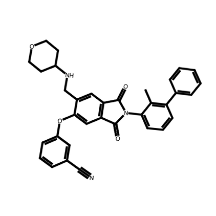 Cc1c(-c2ccccc2)cccc1N1C(=O)c2cc(CNC3CCOCC3)c(Oc3cccc(C#N)c3)cc2C1=O